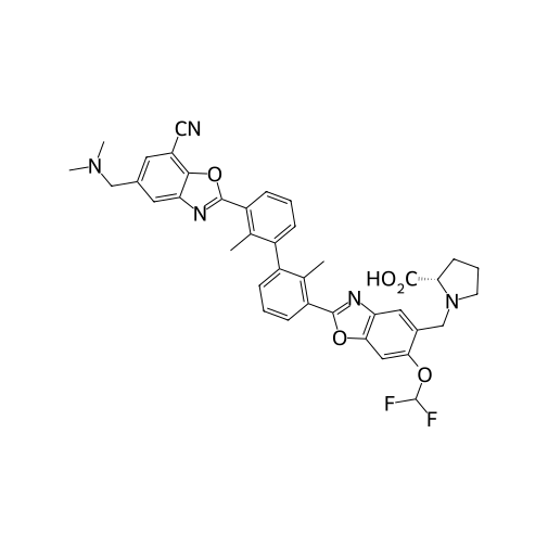 Cc1c(-c2nc3cc(CN4CCC[C@H]4C(=O)O)c(OC(F)F)cc3o2)cccc1-c1cccc(-c2nc3cc(CN(C)C)cc(C#N)c3o2)c1C